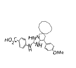 COc1ccc(C2CC3(CCCCCCCCC3)CN3NC(Nc4ccc(C(=O)O)cc4)NC23)cc1